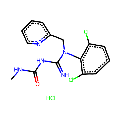 CNC(=O)NC(=N)N(Cc1ccccn1)c1c(Cl)cccc1Cl.Cl